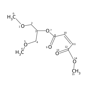 COCC(COC)OC(=O)/C=C\C(=O)OC